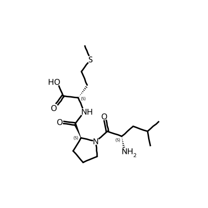 CSCC[C@H](NC(=O)[C@@H]1CCCN1C(=O)[C@@H](N)CC(C)C)C(=O)O